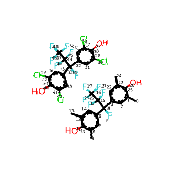 Cc1cc(C(F)(c2cc(C)c(O)c(C)c2)C(F)(F)C(F)(F)F)cc(C)c1O.Oc1c(Cl)cc(C(F)(c2cc(Cl)c(O)c(Cl)c2)C(F)(F)C(F)(F)F)cc1Cl